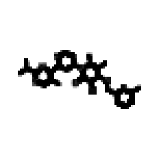 Cc1cccc(COc2c(C)c(C)n(-c3ccnc(-c4nc(C(C)C)ncc4C)c3)c(=O)c2Cl)n1